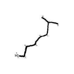 C[C](C)CCCCCO